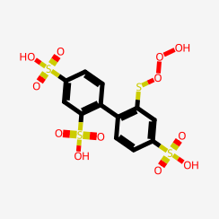 O=S(=O)(O)c1ccc(-c2ccc(S(=O)(=O)O)cc2S(=O)(=O)O)c(SOOO)c1